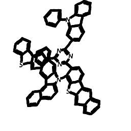 c1ccc(-n2c3ccccc3c3ccc(-c4nc(-c5ccc6sc7ccccc7c6c5)nc(-c5ccc6c(sc7cc8ccccc8cc76)c5-n5c6cc7ccccc7cc6c6c7ccccc7ccc65)n4)cc32)cc1